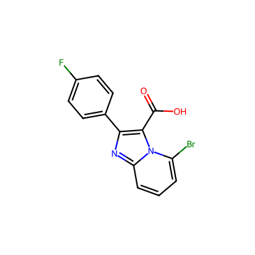 O=C(O)c1c(-c2ccc(F)cc2)nc2cccc(Br)n12